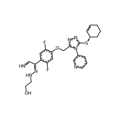 N=C/C(=N\NCCO)c1cc(F)c(OCc2nnc(S[C@H]3C=CCCC3)n2-c2cccnc2)cc1F